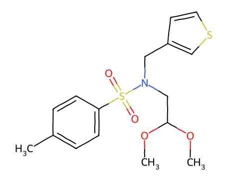 COC(CN(Cc1ccsc1)S(=O)(=O)c1ccc(C)cc1)OC